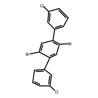 Clc1cccc(-c2cc(Br)c(-c3cccc(Cl)c3)cc2Br)c1